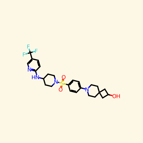 O=S(=O)(c1ccc(N2CCC3(CC2)CC(O)C3)cc1)N1CCC(Nc2ccc(C(F)(F)F)cn2)CC1